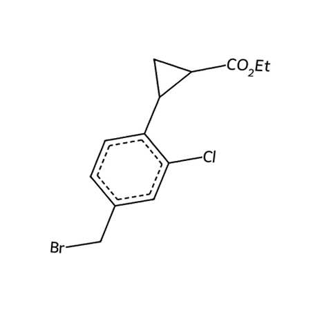 CCOC(=O)C1CC1c1ccc(CBr)cc1Cl